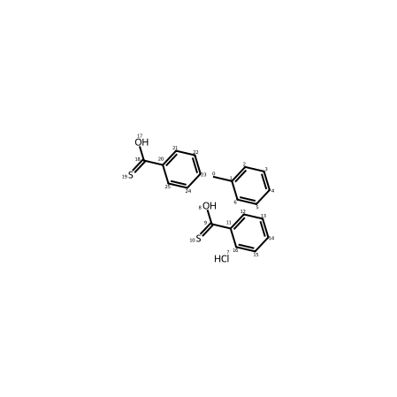 Cc1ccccc1.Cl.OC(=S)c1ccccc1.OC(=S)c1ccccc1